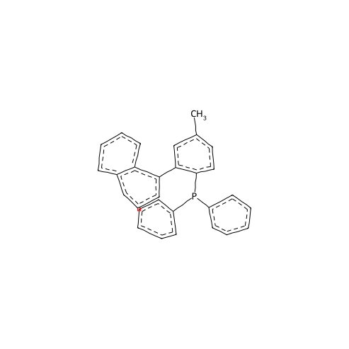 Cc1ccc(P(c2ccccc2)c2ccccc2)c(-c2cccc3ccccc23)c1